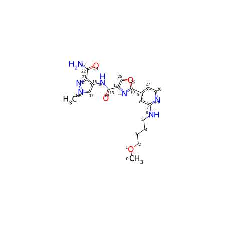 COCCCCNc1cc(-c2nc(C(=O)Nc3cn(C)nc3C(N)=O)co2)ccn1